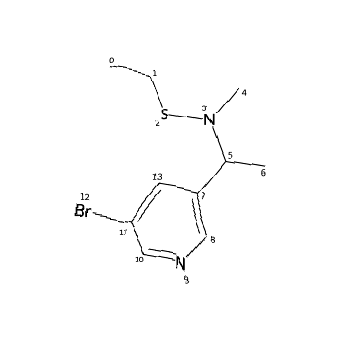 CCSN(C)C(C)c1cncc(Br)c1